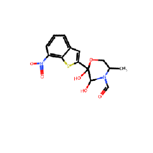 CC1COC(O)(c2cc3cccc([N+](=O)[O-])c3s2)C(O)N1C=O